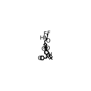 CC(C)(C)c1nc2cc(S(=O)(=O)N3CC(CC(=O)NCC(F)F)C3)ccc2n1CC1CCOCC1